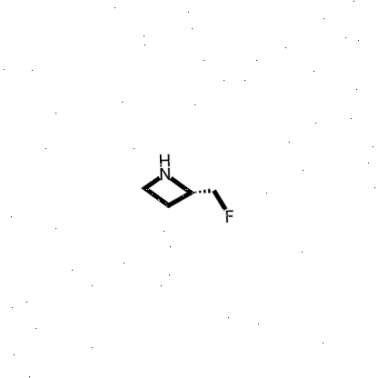 FC[C@@H]1CCN1